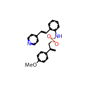 C=C(CS(=O)(=O)Nc1ccccc1C=Cc1ccncc1)c1ccc(OC)cc1